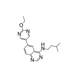 CCOc1ncc(-c2ccc3ncnc(NCCC(C)C)c3c2)cn1